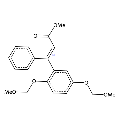 COCOc1ccc(OCOC)c(/C(=C/C(=O)OC)c2ccccc2)c1